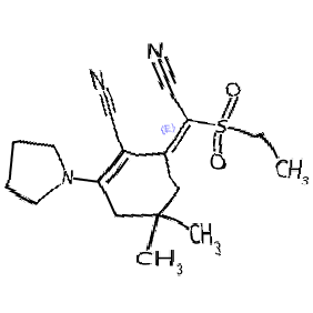 CCS(=O)(=O)/C(C#N)=C1\CC(C)(C)CC(N2CCCC2)=C1C#N